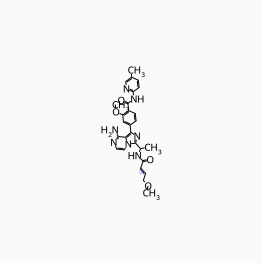 COC/C=C/C(=O)NC(C)c1nc(-c2ccc(C(=O)Nc3ccc(C)cn3)c(OC)c2)c2c(N)nccn12